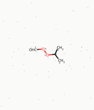 CC(C)OOC=O